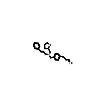 C=CCCc1ccc(CN(C/C=C/c2ccccc2)CC2CCCO2)cc1